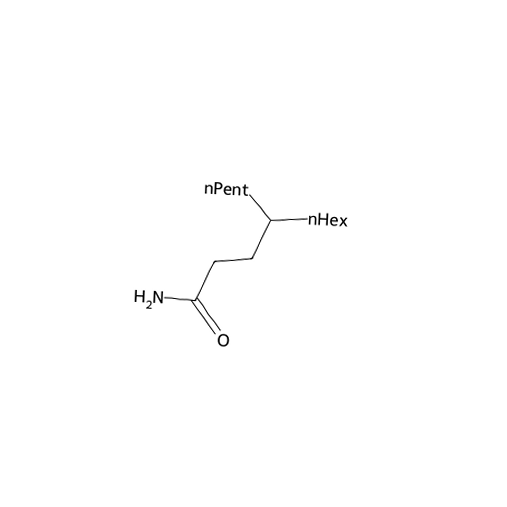 CCCCCCC(CCCCC)CCC(N)=O